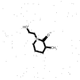 CC1CCCN(CCO)C1=O